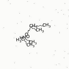 CCCCCCCC(C)(C/C=C/COC(=O)NC(C)(CCCC)CCCC)CCCC